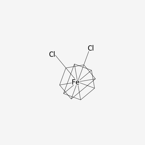 Cl[C]12[CH]3[CH]4[CH]5[C]1(Cl)[Fe]43521678[CH]2[CH]1[CH]6[CH]7[CH]28